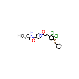 CC(NC(=O)C1CCN(C(=O)C=Cc2ccc(SCC3CCCCC3)c(Cl)c2Cl)CC1)C(=O)O